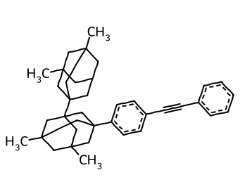 CC12CC3CC(C)(C1)CC(C14CC5(C)CC(C)(CC(c6ccc(C#Cc7ccccc7)cc6)(C5)C1)C4)(C3)C2